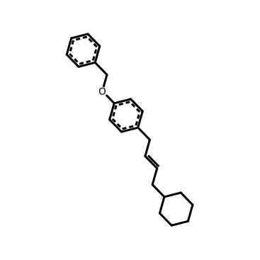 C(=CCC1CCCCC1)Cc1ccc(OCc2ccccc2)cc1